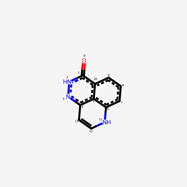 O=c1[nH]nc2c3c(cccc13)NC=C2